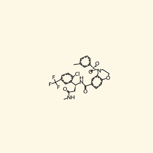 CNC(=O)C[C@H](NC(=O)c1ccc2c(c1)N(S(=O)(=O)c1cccc(C)c1)CCO2)c1cc(C(F)(F)F)ccc1Cl